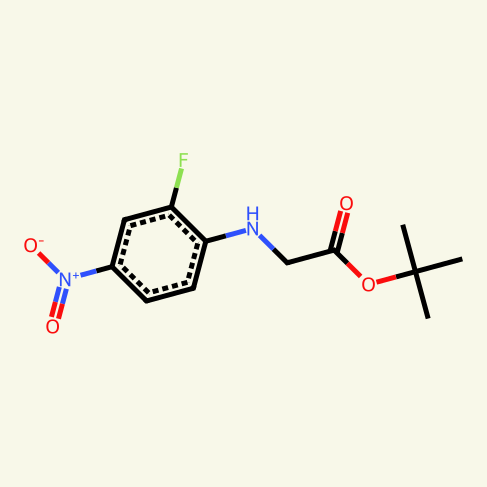 CC(C)(C)OC(=O)CNc1ccc([N+](=O)[O-])cc1F